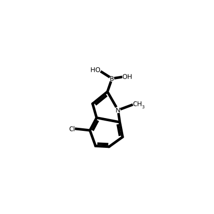 Cn1c(B(O)O)cc2c(Cl)cccc21